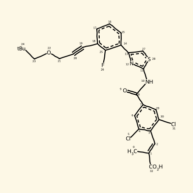 CC(=Cc1c(Cl)cc(C(=O)Nc2nc(-c3cccc(C#CCOCC(C)(C)C)c3F)cs2)cc1Cl)C(=O)O